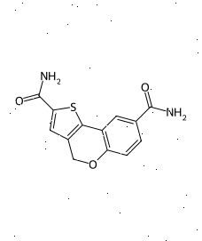 NC(=O)c1ccc2c(c1)-c1sc(C(N)=O)cc1CO2